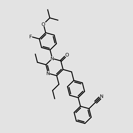 CCCc1nc(CC)n(-c2ccc(OC(C)C)c(F)c2)c(=O)c1Cc1ccc(-c2ccccc2C#N)cc1